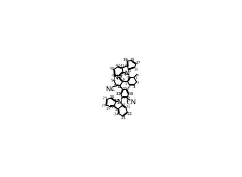 CC1CC=CC(c2cncc(C#N)c2-c2ccc(C#N)c(-n3c4ccccc4c4ccccc43)c2)=C1n1c2ccccc2c2ccccc21